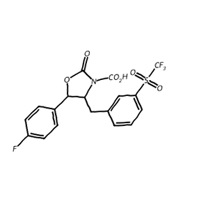 O=C(O)N1C(=O)OC(c2ccc(F)cc2)C1Cc1cccc(S(=O)(=O)C(F)(F)F)c1